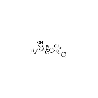 CCC(CC)(c1ccc(OCc2ccccc2)c(C)c1)c1cc(C)c(CO)s1